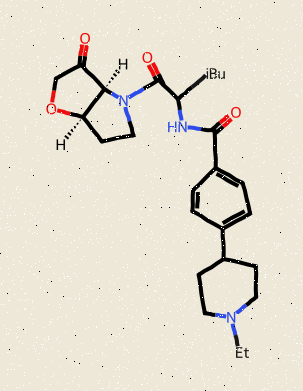 CCC(C)C(NC(=O)c1ccc(C2CCN(CC)CC2)cc1)C(=O)N1CC[C@H]2OCC(=O)[C@H]21